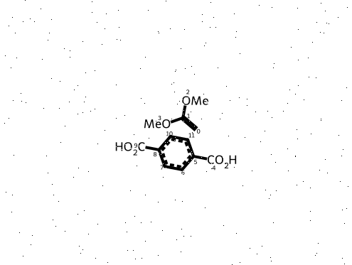 C=C(OC)OC.O=C(O)c1ccc(C(=O)O)cc1